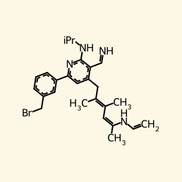 C=CN/C(C)=C\C(C)=C(/C)Cc1cc(-c2cccc(CBr)c2)nc(NC(C)C)c1C=N